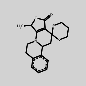 C[C@H]1OC(=O)C2=C1N1CCc3ccccc3C1CC21SCCCS1